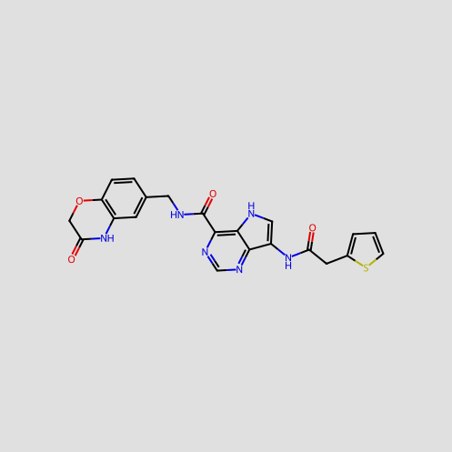 O=C1COc2ccc(CNC(=O)c3ncnc4c(NC(=O)Cc5cccs5)c[nH]c34)cc2N1